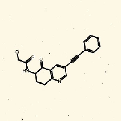 O=C(CCl)NC1CCc2ncc(C#Cc3ccccc3)cc2C1=O